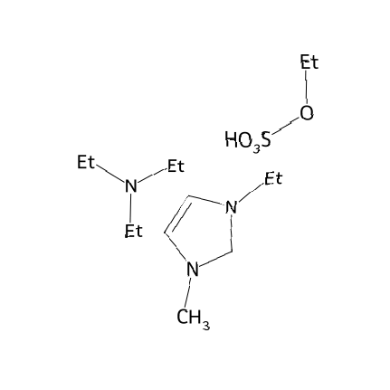 CCN(CC)CC.CCN1C=CN(C)C1.CCOS(=O)(=O)O